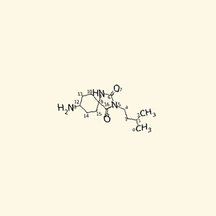 CC(C)CCN1C(=O)NC2(CCC(N)CC2)C1=O